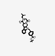 CC(C)CN1CC(=O)N2Cc3c(c4ccccc4n3Cc3ccc(C(=O)OC(C)(C)C)cc3)CC2C1=O